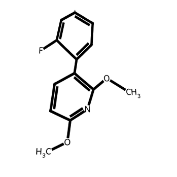 COc1ccc(-c2cc[c]cc2F)c(OC)n1